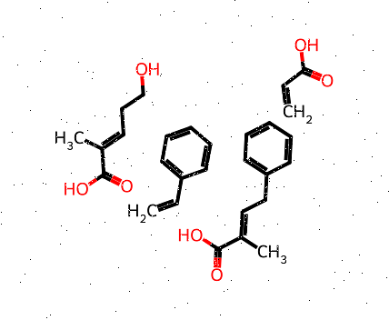 C/C(=C\CCO)C(=O)O.C/C(=C\Cc1ccccc1)C(=O)O.C=CC(=O)O.C=Cc1ccccc1